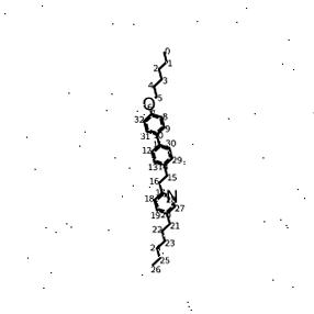 CCCCCCOc1ccc(-c2ccc(CCc3ccc(CCCCCC)cn3)cc2)cc1